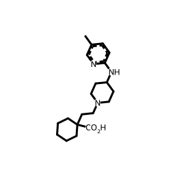 Cc1ccc(NC2CCN(CCC3(C(=O)O)CCCCC3)CC2)nc1